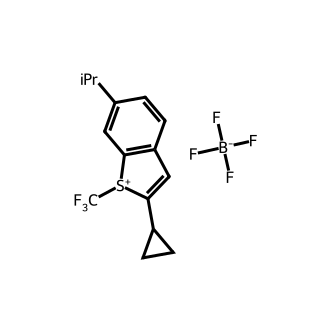 CC(C)c1ccc2cc(C3CC3)[s+](C(F)(F)F)c2c1.F[B-](F)(F)F